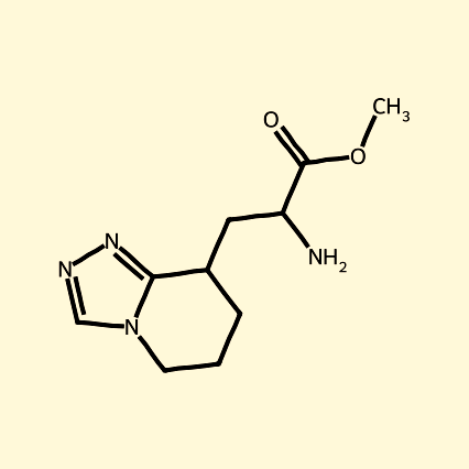 COC(=O)C(N)CC1CCCn2cnnc21